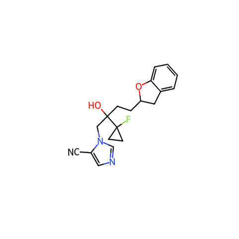 N#Cc1cncn1CC(O)(CCC1Cc2ccccc2O1)C1(F)CC1